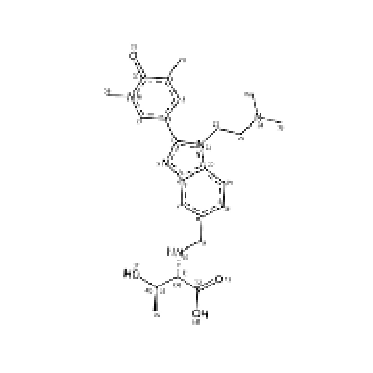 Cc1cc(-c2nc3cc(CN[C@H](C(=O)O)[C@@H](C)O)ccc3n2CCN(C)C)cn(C)c1=O